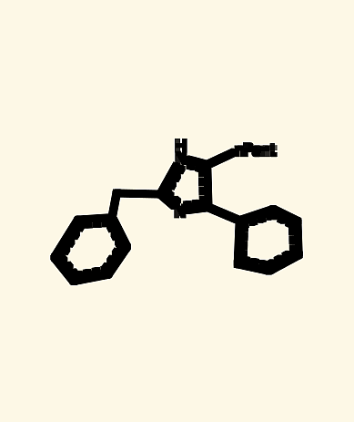 CCCCCc1[nH]c(Cc2ccccc2)nc1-c1ccccc1